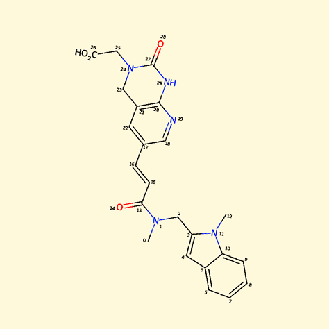 CN(Cc1cc2ccccc2n1C)C(=O)/C=C/c1cnc2c(c1)CN(CC(=O)O)C(=O)N2